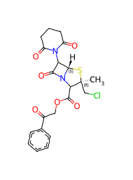 C[C@@]1(CCl)S[C@H]2C(N3C(=O)CCCC3=O)C(=O)N2C1C(=O)OCC(=O)c1ccccc1